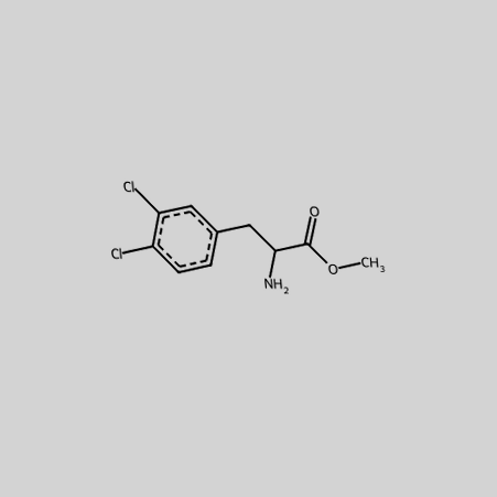 COC(=O)C(N)Cc1ccc(Cl)c(Cl)c1